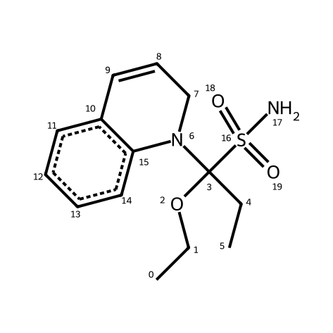 CCOC(CC)(N1CC=Cc2ccccc21)S(N)(=O)=O